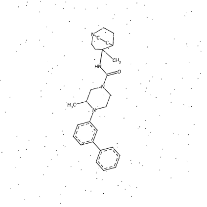 CC1CN(C(=O)NC2(C)CCN3CCC2CC3)CCN1c1cccc(-c2ccccc2)c1